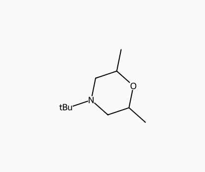 CC1CN(C(C)(C)C)CC(C)O1